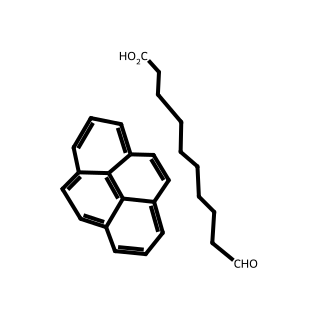 O=CCCCCCCCCC(=O)O.c1cc2ccc3cccc4ccc(c1)c2c34